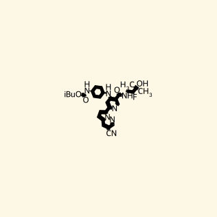 CC(C)COC(=O)N[C@H]1CC[C@H](Nc2cc(-c3ccc4cc(C#N)cnn34)ncc2C(=O)NC[C@@H](F)C(C)(C)O)CC1